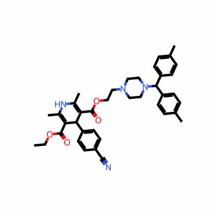 CCOC(=O)C1=C(C)NC(C)=C(C(=O)OCCN2CCN(C(c3ccc(C)cc3)c3ccc(C)cc3)CC2)C1c1ccc(C#N)cc1